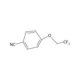 N#Cc1ccc(OCC(F)(F)F)cc1